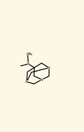 CCCCN(C)C12CN3CN(CN(C3)C1)C2